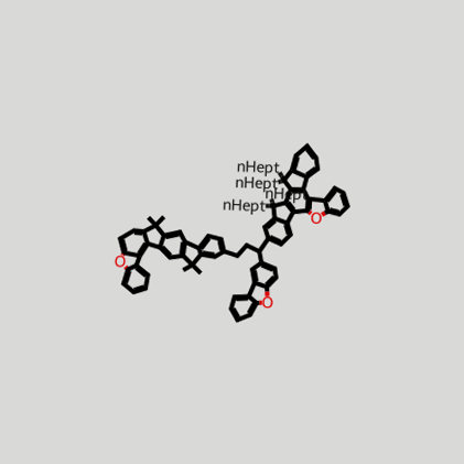 CCCCCCCC1(CCCCCCC)c2cc(C(CCc3ccc4c(c3)C(C)(C)c3cc5c(cc3-4)C(C)(C)c3ccc4oc6ccccc6c4c3-5)c3ccc4oc5ccccc5c4c3)ccc2-c2c1c1c(c3c2oc2ccccc23)-c2ccccc2C1(CCCCCCC)CCCCCCC